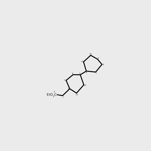 CCOC(=O)CC1CCC(C2CCCCC2)CC1